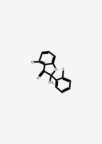 CC1(c2ccccc2F)Oc2cccc(Cl)c2C1=O